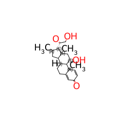 C[C@@H]1CC2[C@@H]3CCC4=CC(=O)C=C[C@]4(C)C3[C@@H](O)C[C@]2(C)[C@H]1C(=O)CO